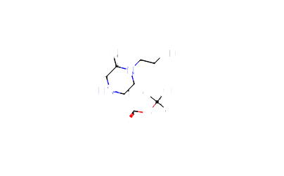 CC(C)(C)OC=O.CCCN1CCNCC1C